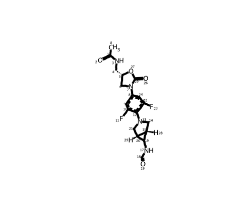 CC(=O)NC[C@H]1CN(c2cc(F)c(N3C[C@@H]4C(NC=O)[C@@H]4C3)c(F)c2)C(=O)O1